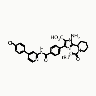 CC(C)(C)OC(=O)N1CCCCC1c1nc(-c2ccc(C(=O)Nc3cc(-c4ccc(Cl)cc4)ccn3)cc2)c(C(=O)O)n1N